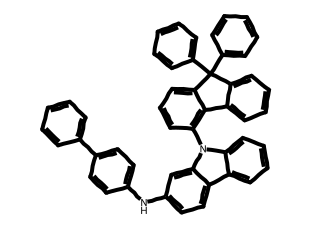 c1ccc(-c2ccc(Nc3ccc4c5ccccc5n(-c5cccc6c5-c5ccccc5C6(c5ccccc5)c5ccccc5)c4c3)cc2)cc1